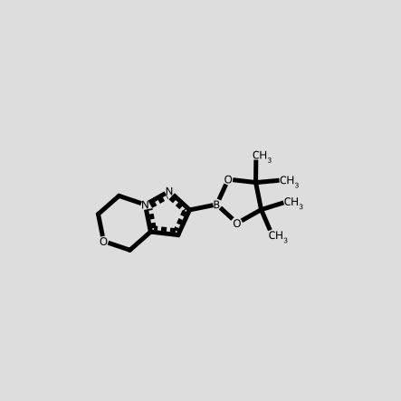 CC1(C)OB(c2cc3n(n2)CCOC3)OC1(C)C